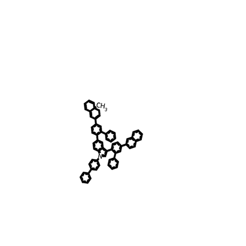 CC12C=CC=CC1=CC(c1ccc(-c3ccc4c(c3)c(-c3ccc(-c5ccc6ccccc6c5)cc3-c3ccccc3)cn4-c3ccc(-c4ccccc4)cc3)c(-c3ccccc3)c1)=CC2